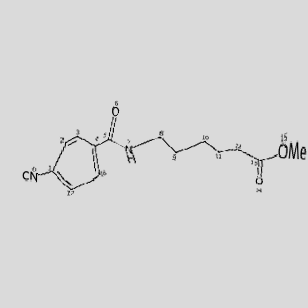 [C-]#[N+]c1ccc(C(=O)NCCCCCC(=O)OC)cc1